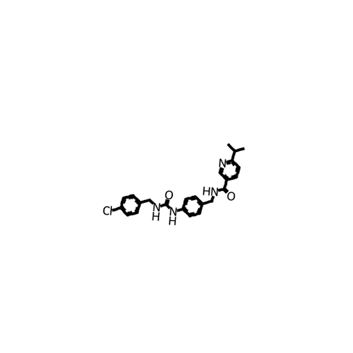 CC(C)c1ccc(C(=O)NCc2ccc(NC(=O)NCc3ccc(Cl)cc3)cc2)cn1